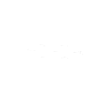 Fc1[c]cc(-c2ccc(C(F)(F)F)cc2)cc1